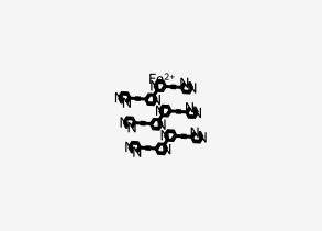 C(#Cc1ccncn1)c1ccnc(-c2cc(C#Cc3ccncn3)ccn2)c1.C(#Cc1ccncn1)c1ccnc(-c2cc(C#Cc3ccncn3)ccn2)c1.C(#Cc1ccncn1)c1ccnc(-c2cc(C#Cc3ccncn3)ccn2)c1.[Fe+2]